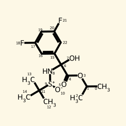 CC(C)OC(=O)C(O)(N[S@@+]([O-])C(C)(C)C)c1cc(F)cc(F)c1